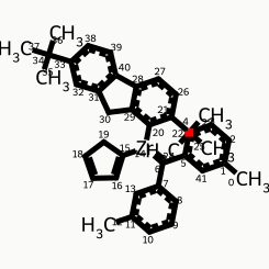 Cc1cccc([C](c2cccc(C)c2)=[Zr]([C]2=CC=CC2)[c]2c(C(C)(C)C)ccc3c2Cc2cc(C(C)(C)C)ccc2-3)c1